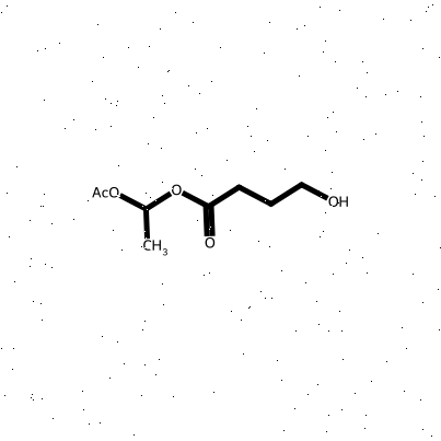 CC(=O)OC(C)OC(=O)CCCO